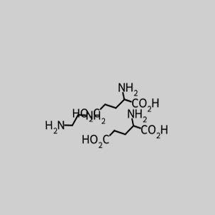 NC(CCC(=O)O)C(=O)O.NC(CCC(=O)O)C(=O)O.NCCN